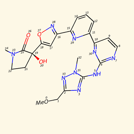 COCc1nc(Nc2nccc(-c3cccc(-c4cc([C@]5(O)CCN(C)C5=O)on4)n3)n2)n(C)n1